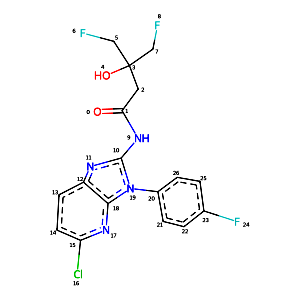 O=C(CC(O)(CF)CF)Nc1nc2ccc(Cl)nc2n1-c1ccc(F)cc1